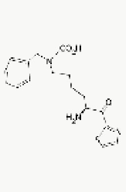 N[C@@H](CCCCN(Cc1ccccc1)C(=O)O)C(=O)c1nccs1